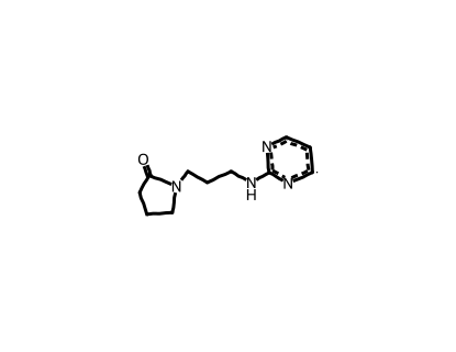 O=C1CCCN1CCCNc1n[c]ccn1